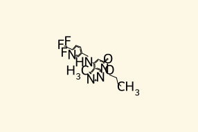 CCCCOn1c(=O)cc(NCc2ccc(C(F)(F)F)nc2)c2c(C)ncnc21